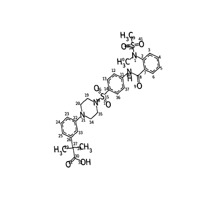 CN(c1ccccc1C(=O)Nc1ccc(S(=O)(=O)N2CCN(c3cccc(C(C)(C)C(=O)O)c3)CC2)cc1)S(C)(=O)=O